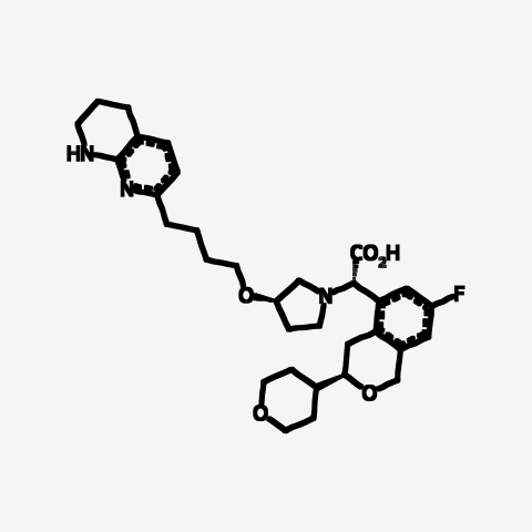 O=C(O)[C@H](c1cc(F)cc2c1C[C@H](C1CCOCC1)OC2)N1CC[C@@H](OCCCCc2ccc3c(n2)NCCC3)C1